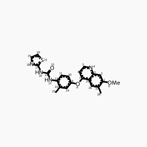 COc1cc2nccc(Oc3ccc(NC(=O)Nc4nccs4)c(C)c3)c2cc1C